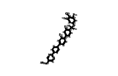 CCCCCc1cnc(-c2ccc(-c3ccc(-c4ccc(C(F)(F)Oc5cc(F)c(Cl)c(F)c5)c(F)c4)c(F)c3)cc2)nc1